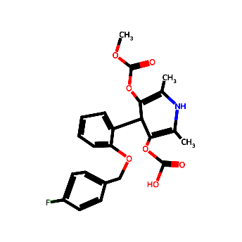 COC(=O)OC1=C(C)NC(C)=C(OC(=O)O)C1c1ccccc1OCc1ccc(F)cc1